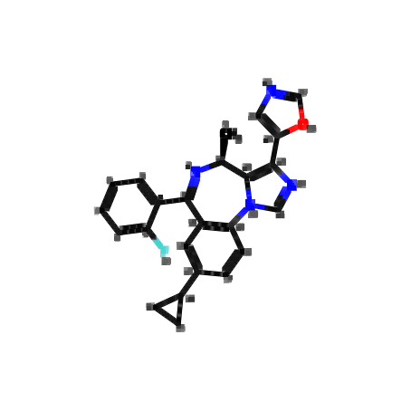 C[C@@H]1N=C(c2ccccc2F)c2cc(C3CC3)ccc2-n2cnc(-c3cnco3)c21